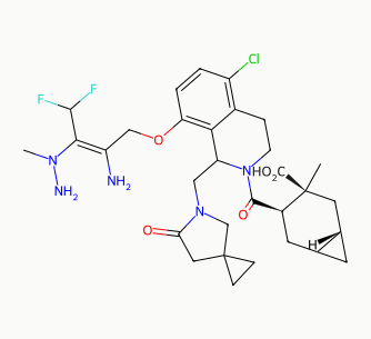 CN(N)/C(=C(\N)COc1ccc(Cl)c2c1C(CN1CC3(CC3)CC1=O)N(C(=O)[C@@H]1CC3C[C@H]3C[C@]1(C)C(=O)O)CC2)C(F)F